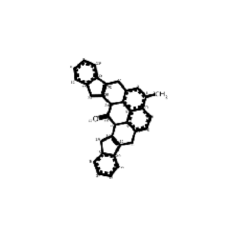 Cc1cc2c3c4c5c(ccc14)CC1=C(Cc4ccccc41)C5C(=O)C3C1=C(C2)c2ccccc2C1